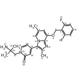 Cc1cc(OCc2c(F)cccc2F)c2nc(C)c(-c3ccn(CC(C)(C)N)c(=O)c3)n2c1